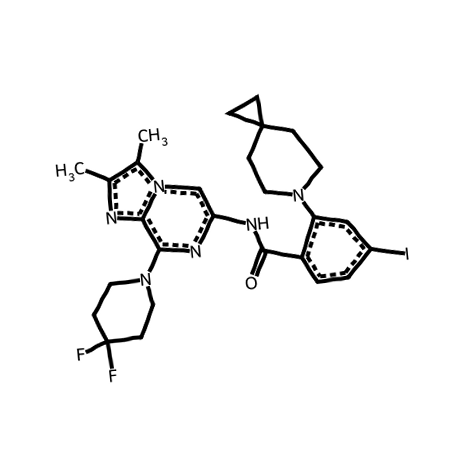 Cc1nc2c(N3CCC(F)(F)CC3)nc(NC(=O)c3ccc(I)cc3N3CCC4(CC3)CC4)cn2c1C